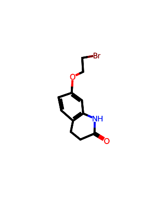 O=C1CCc2ccc(OCCBr)cc2N1